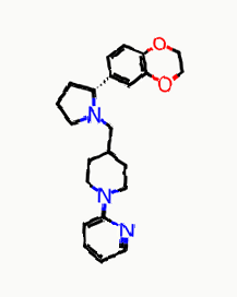 c1ccc(N2CCC(CN3CCC[C@@H]3c3ccc4c(c3)OCCO4)CC2)nc1